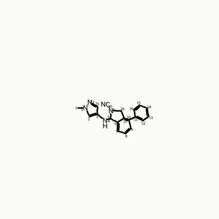 Cn1cc(NC2c3cccc(-c4ccccc4)c3CN2C#N)cn1